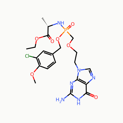 CCOC(=O)[C@H](C)NP(=O)(COCCn1cnc2c(=O)[nH]c(N)nc21)OCc1ccc(OC)c(Cl)c1